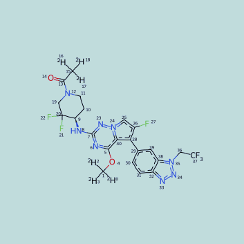 [2H]C([2H])([2H])Oc1nc(N[C@@H]2CCN(C(=O)C([2H])([2H])[2H])CC2(F)F)nn2cc(F)c(-c3ccc4nnn(CC(F)(F)F)c4c3)c12